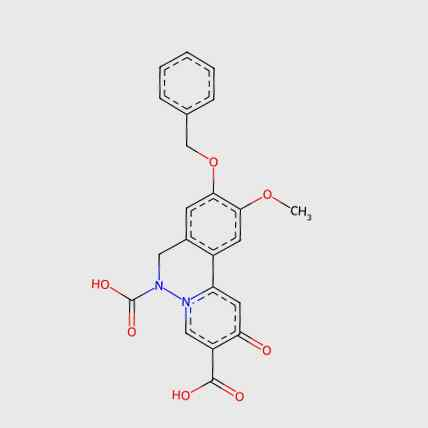 COc1cc2c(cc1OCc1ccccc1)CN(C(=O)O)n1cc(C(=O)O)c(=O)cc1-2